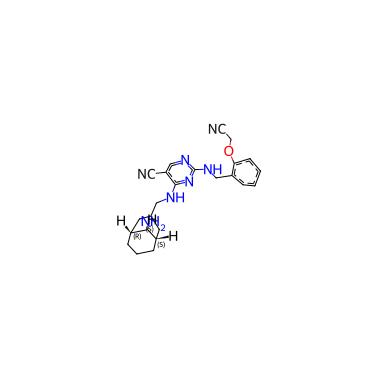 N#CCOc1ccccc1CNc1ncc(C#N)c(NCC2C[C@H]3CCC[C@@H](C2)[C@@H]3N)n1